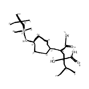 CC(C)C(O)(C(=O)O)C(C(=O)O)C1CCC(O[Si](C)(C)C(C)(C)C)CC1